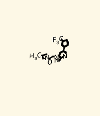 CC1CN(C(=O)Cn2ncc3ncc(-c4cccc(C(F)(F)F)c4)cc32)C1